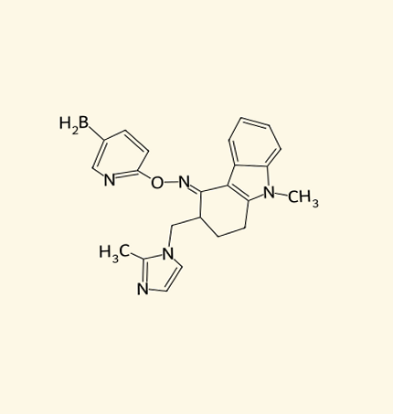 Bc1ccc(O/N=C2/c3c(n(C)c4ccccc34)CCC2Cn2ccnc2C)nc1